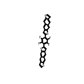 Fc1c(F)c(-c2cc3cc4cc5sccc5cc4cc3s2)c(F)c(F)c1-c1cc2cc3cc4sccc4cc3cc2s1